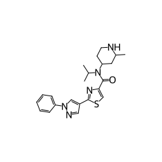 CC1CC(N(C(=O)c2csc(-c3cnn(-c4ccccc4)c3)n2)C(C)C)CCN1